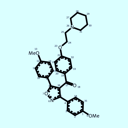 COc1ccc(-c2noc(-c3ccc(OC)cc3)c2C(=O)c2ccc(OCCN3CCCCC3)cc2)cc1